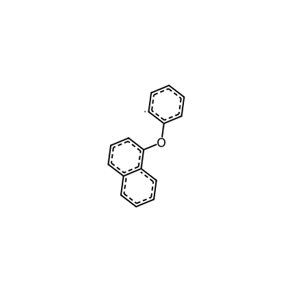 [c]1ccccc1Oc1cccc2ccccc12